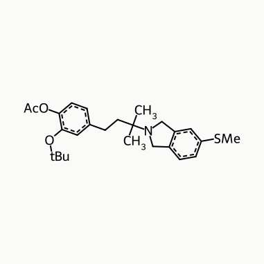 CSc1ccc2c(c1)CN(C(C)(C)CCc1ccc(OC(C)=O)c(OC(C)(C)C)c1)C2